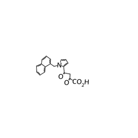 O=C(O)C(=O)CC(=O)c1cccn1Cc1cccc2ccccc12